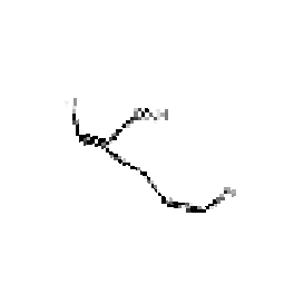 CC/C=C\CC/C(=C/CCC)C(=O)O